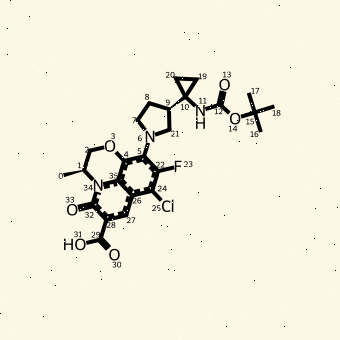 C[C@H]1COc2c(N3CC[C@@H](C4(NC(=O)OC(C)(C)C)CC4)C3)c(F)c(Cl)c3cc(C(=O)O)c(=O)n1c23